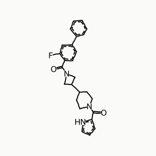 O=C(c1ccc[nH]1)N1CCC(C2CN(C(=O)c3ccc(-c4ccccc4)cc3F)C2)CC1